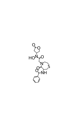 O=C1CC(N(O)C(=O)CN2CCSCC(NC(=O)c3ccccc3)C2=O)CO1